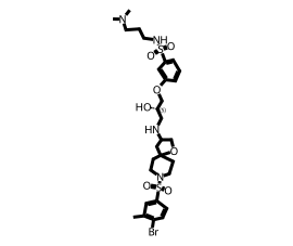 Cc1cc(S(=O)(=O)N2CCC3(CC2)CC(NC[C@H](O)COc2cccc(S(=O)(=O)NCCCN(C)C)c2)CO3)ccc1Br